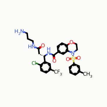 Cc1cccc(S(=O)(=O)N2CCOc3ccc(C(=O)N[C@@H](CC(=O)NCCCN)c4cc(C(F)(F)F)ccc4Cl)cc32)c1